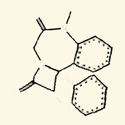 CN1C(=O)CN2C(=O)[C@@H](O)[C@]2(c2ccccc2)c2ccccc21